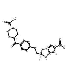 C[C@]1(COc2ccc(C(=O)N3CCN(C(=O)O)CC3)cc2)Cn2cc([N+](=O)[O-])nc2O1